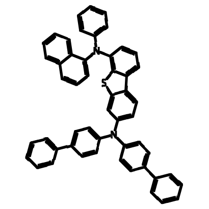 c1ccc(-c2ccc(N(c3ccc(-c4ccccc4)cc3)c3ccc4c(c3)sc3c(N(c5ccccc5)c5cccc6ccccc56)cccc34)cc2)cc1